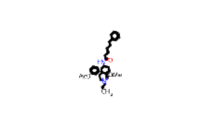 C=CCN1CC[C@@]2(c3cccc(OC(C)=O)c3)C[C@@H](NC(=O)CCCCCc3ccccc3)CC[C@]2(OC)C1